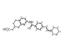 O=C(O)CC1CCc2ccc(NC(=O)c3ccc(C=NN4CCCCC4)cc3)cc2C1